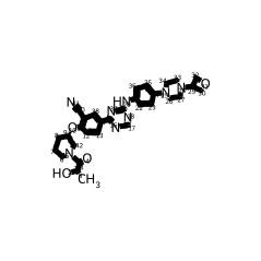 CC(O)C(=O)N1CCC[C@@H](Oc2ccc(-c3ncnc(Nc4ccc(N5CCN(C6COC6)CC5)cc4)n3)cc2C#N)C1